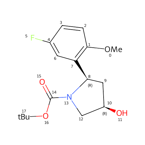 COc1ccc(F)cc1[C@H]1C[C@@H](O)CN1C(=O)OC(C)(C)C